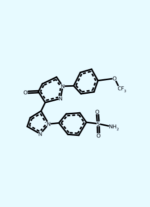 NS(=O)(=O)c1ccc(-n2nccc2-c2nn(-c3ccc(OC(F)(F)F)cc3)ccc2=O)cc1